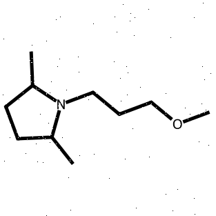 COCCCN1C(C)CCC1C